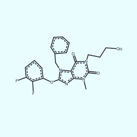 Cn1c(=O)n(CCCO)c(=O)c2c1nc(Oc1cccc(F)c1F)n2Cc1ccccc1